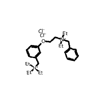 CC[N+](CC)(CC)Cc1cccc(OCC[N+](CC)(CC)Cc2ccccc2)c1.[Cl-].[Cl-]